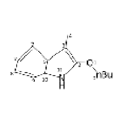 CCCCOC1=C(C)C2C=CC=CC2N1